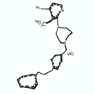 CC(C)c1ccnc(N2CCN(Cc3ccc(CCc4ccccc4)cc3)CC2)c1C(=O)O.Cl